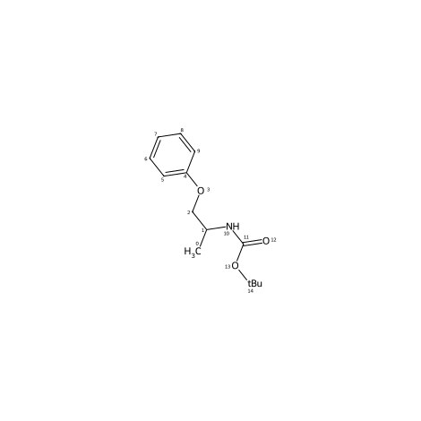 CC(COc1ccccc1)NC(=O)OC(C)(C)C